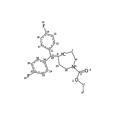 CCOC(=O)N1CCCC(=C(c2ccc(F)cc2)c2ccc(F)cc2)CC1